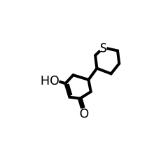 O=C1C=C(O)CC(C2CCCSC2)C1